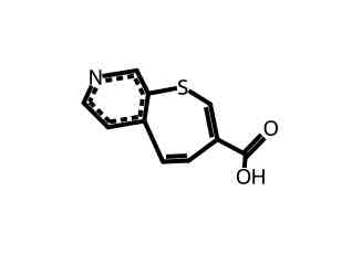 O=C(O)C1=CSc2cnccc2C=C1